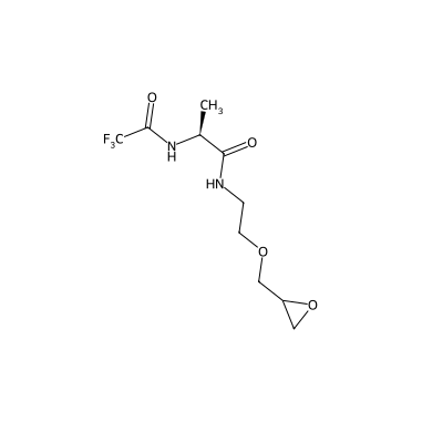 C[C@H](NC(=O)C(F)(F)F)C(=O)NCCOCC1CO1